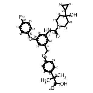 CC(C)(C(=O)O)c1ccc(OCc2cc(NC(=O)N3CCC(O)(C4CC4)CC3)cc(Oc3ccc(F)cc3)c2)cc1